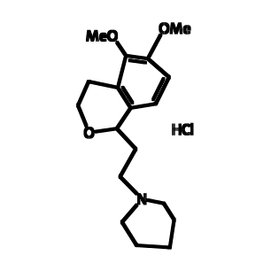 COc1ccc2c(c1OC)CCOC2CCN1CCCCC1.Cl